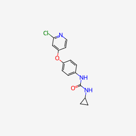 O=C(Nc1ccc(Oc2ccnc(Cl)c2)cc1)NC1CC1